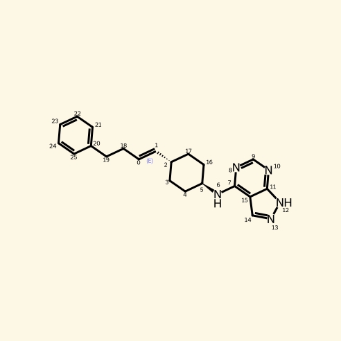 C(=C\[C@H]1CC[C@H](Nc2ncnc3[nH]ncc23)CC1)/CCc1ccccc1